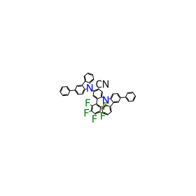 N#Cc1cc(-n2c3ccccc3c3cc(-c4ccccc4)ccc32)c(-c2c(F)c(F)c(F)c(F)c2F)cc1-n1c2ccccc2c2cc(-c3ccccc3)ccc21